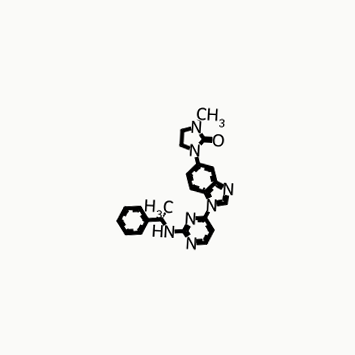 C[C@H](Nc1nccc(-n2cnc3cc(N4CCN(C)C4=O)ccc32)n1)c1ccccc1